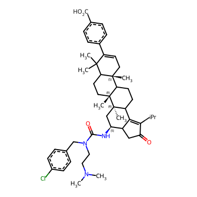 CC(C)C1=C2C(CC1=O)[C@@H](NC(=O)N(CCN(C)C)Cc1ccc(Cl)cc1)C[C@]1(C)C2CCC2[C@@]3(C)CC=C(c4ccc(C(=O)O)cc4)C(C)(C)C3CC[C@]21C